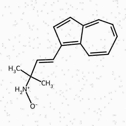 CC(C)(C=Cc1ccc2cccccc1-2)[NH2+][O-]